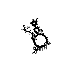 COC(=O)NC1=CC=Cc2cn(COCC[Si](C)(C)C)c(n2)[C@@H](N2CCC(c3cccc(Cl)c3)CC2=O)CC=CCCC(=O)NC=C1